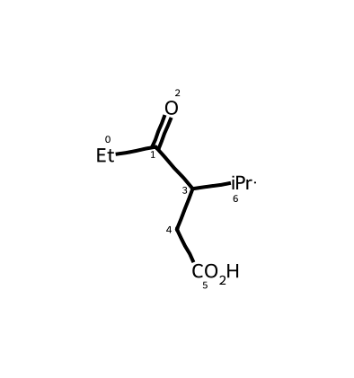 CCC(=O)C(CC(=O)O)[C](C)C